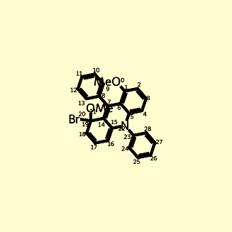 COc1cccc2c1C(c1ccccc1)=C1C(=CC=CC1(Br)OC)N2c1ccccc1